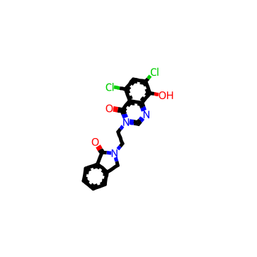 O=C1c2ccccc2CN1CCn1cnc2c(O)c(Cl)cc(Cl)c2c1=O